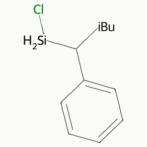 CCC(C)C([SiH2]Cl)c1ccccc1